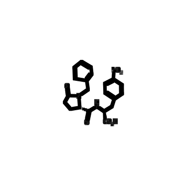 O=C(O)[C@H](Cc1ccc([N+](=O)[O-])cc1)NC(=O)[C@@H]1CCC(=O)N1Cc1ccccc1